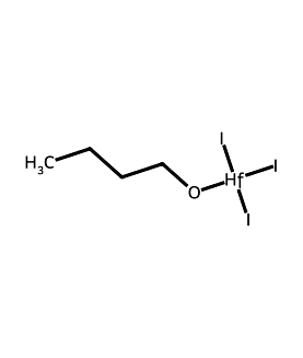 CCCC[O][Hf]([I])([I])[I]